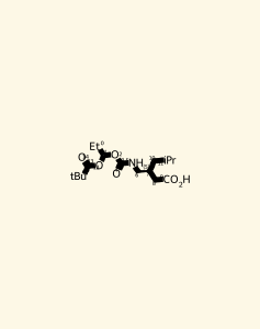 CCC(OC(=O)NC[C@H](CC(=O)O)CC(C)C)OC(=O)C(C)(C)C